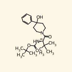 CC(C)(C)OC(=O)N[C@@H](C(=O)N1CCC(O)(c2ccccc2)CC1)C(C)(C)C